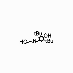 CC(C)(C)c1cc(C=NCCCO)cc(C(C)(C)C)c1O